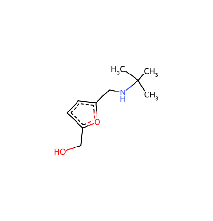 CC(C)(C)NCc1ccc(CO)o1